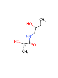 CCC(O)CNC(=O)[C@H](C)O